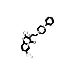 Cc1ccc2nc(C)c(CCN3CCN(c4ccccc4)CC3)c(=O)n2c1